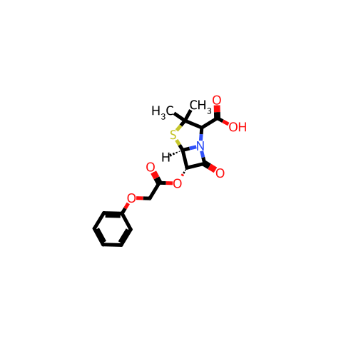 CC1(C)S[C@@H]2[C@@H](OC(=O)COc3ccccc3)C(=O)N2C1C(=O)O